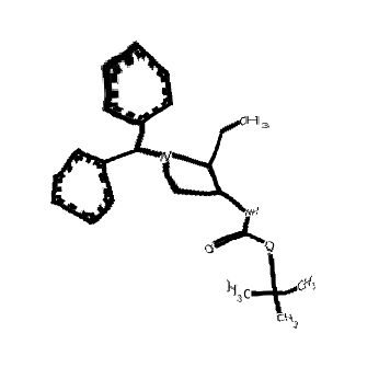 CCC1C(NC(=O)OC(C)(C)C)CN1C(c1ccccc1)c1ccccc1